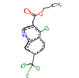 CCOC(=O)c1cnc2cc(C(Cl)(Cl)Cl)ccc2c1Cl